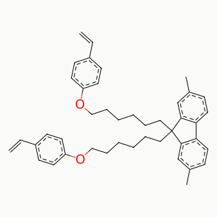 C=Cc1ccc(OCCCCCCC2(CCCCCCOc3ccc(C=C)cc3)c3cc(C)ccc3-c3ccc(C)cc32)cc1